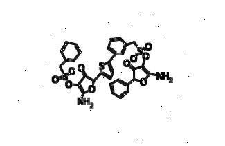 NC1=C(OS(=O)(=O)Cc2cccc(-c3ccc(C4OC(N)=C(OS(=O)(=O)Cc5ccccc5)C4=O)s3)c2)C(=O)C(c2ccccc2)O1